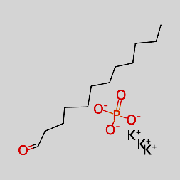 CCCCCCCCCCCC=O.O=P([O-])([O-])[O-].[K+].[K+].[K+]